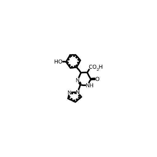 O=C(O)C1C(=O)NC(n2cccn2)=NC1c1cccc(O)c1